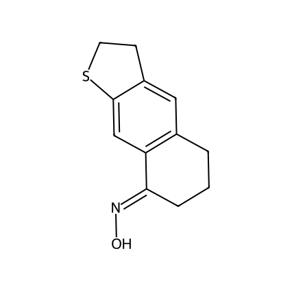 ON=C1CCCc2cc3c(cc21)SCC3